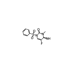 Cn1c(=N)c(F)cn(S(=O)(=O)c2ccccc2)c1=O